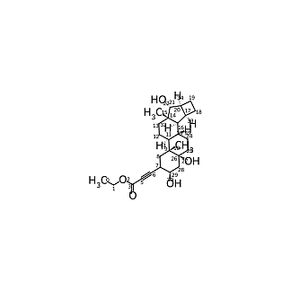 CCOC(=O)C#CC1C[C@]2(C)[C@H]3CC[C@@]4(C)[C@@H]([C@@H]5CC[C@@H]5[C@H]4O)[C@@H]3CC[C@]2(O)C[C@H]1O